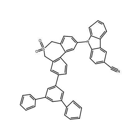 N#Cc1ccc2c(c1)c1ccccc1n2-c1ccc2c(c1)-c1ccc(-c3cc(-c4ccccc4)cc(-c4ccccc4)c3)cc1CS(=O)(=O)C2